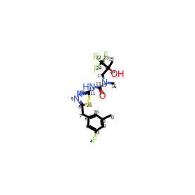 Cc1cc(F)cc(Cc2nnc(NC(=O)N(C)CC(C)(O)C(F)(F)F)s2)c1